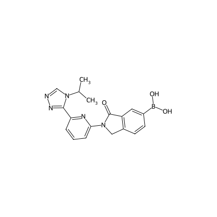 CC(C)n1cnnc1-c1cccc(N2Cc3ccc(B(O)O)cc3C2=O)n1